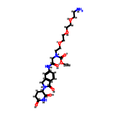 CC(C)(C)OC(=O)N(CCOCCOCCOCCN)CC(=O)Nc1ccc2c(c1)CN(C1CCC(=O)NC1=O)C2=O